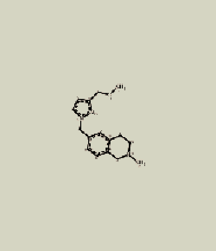 COCc1ccn(Cc2ccc3c(c2)CCN(C)C3)n1